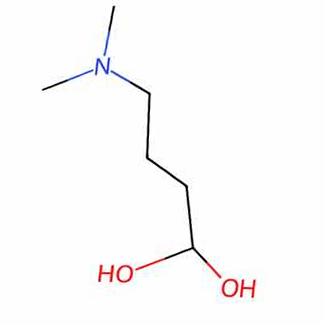 CN(C)CCCC(O)O